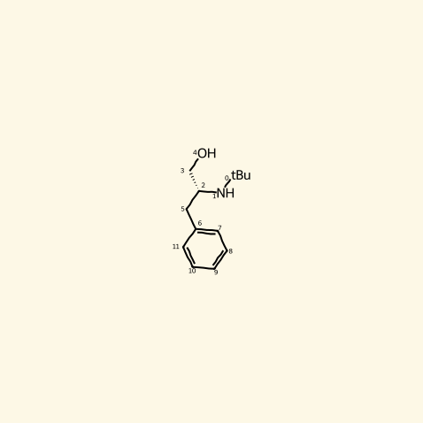 CC(C)(C)N[C@@H](CO)Cc1ccccc1